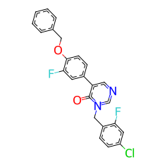 O=c1c(-c2ccc(OCc3ccccc3)c(F)c2)cncn1Cc1ccc(Cl)cc1F